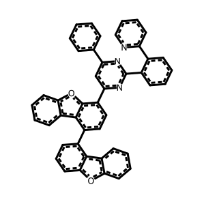 c1ccc(-c2cc(-c3ccc(-c4cccc5oc6ccccc6c45)c4c3oc3ccccc34)nc(-c3ccccc3-c3ccccn3)n2)cc1